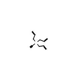 [C-]#C[Si](CC=C)(CC=C)CC=C.[Li+]